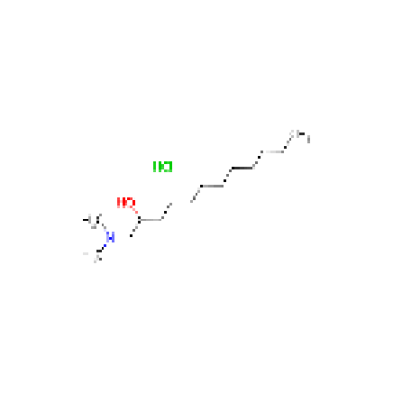 CCCCCCCCCCC(O)CN(C)C.Cl